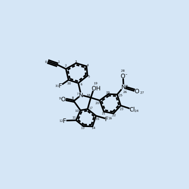 C#Cc1cccc(N2C(=O)c3c(F)ccc(F)c3C2(O)c2ccc(Cl)c([N+](=O)[O-])c2)c1F